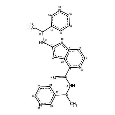 CC(NC(=O)c1nccc2sc(NC(C)c3cccnc3)cc12)c1cccnc1